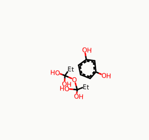 CCC(O)(O)OC(O)(O)CC.Oc1cccc(O)c1